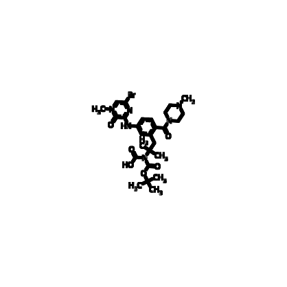 CN1CCN(C(=O)c2ccc(Nc3nc(Br)cn(C)c3=O)cc2CC(C)(C)N(C(=O)O)C(=O)OC(C)(C)C)CC1